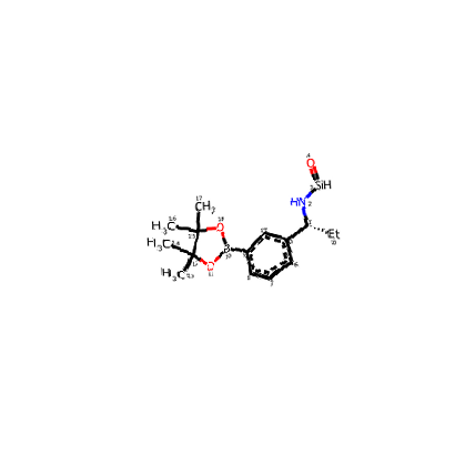 CC[C@@H](N[SiH]=O)c1cccc(B2OC(C)(C)C(C)(C)O2)c1